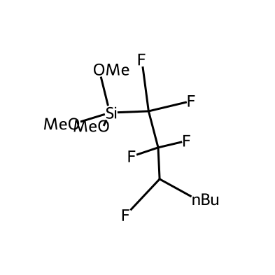 CCCCC(F)C(F)(F)C(F)(F)[Si](OC)(OC)OC